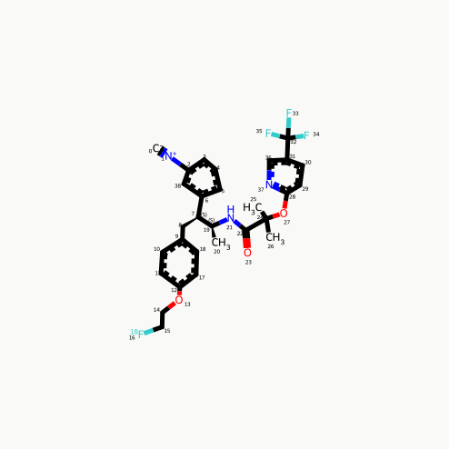 [C-]#[N+]c1cccc([C@H](Cc2ccc(OCC[18F])cc2)[C@H](C)NC(=O)C(C)(C)Oc2ccc(C(F)(F)F)cn2)c1